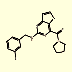 O=C(c1nc(NCc2cccc(Cl)c2)nc2ccsc12)N1CCCC1